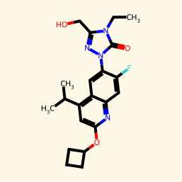 CCn1c(CO)nn(-c2cc3c(C(C)C)cc(OC4CCC4)nc3cc2F)c1=O